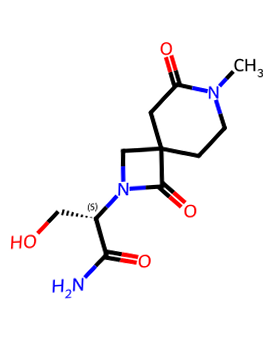 CN1CCC2(CC1=O)CN([C@@H](CO)C(N)=O)C2=O